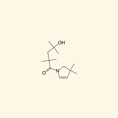 CC(C)(O)CC(C)(C)C(=O)N1C=CC(C)(C)C1